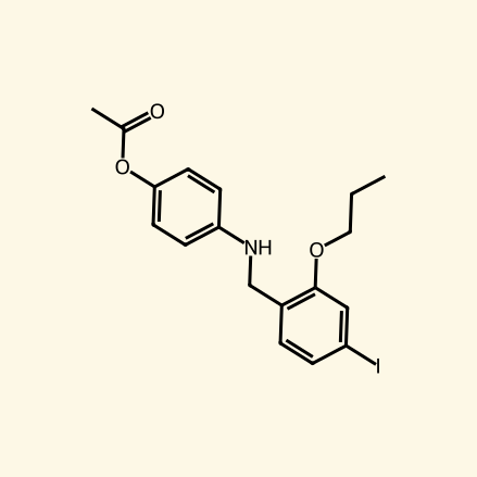 CCCOc1cc(I)ccc1CNc1ccc(OC(C)=O)cc1